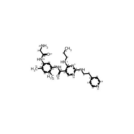 CCCNc1nc(NCCc2ccncc2)ncc1C(=O)Nc1cc(NC(=O)CN)c(C)cc1C